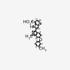 Cc1cccc(Oc2ccc3c(-c4cc5nccc(C(=O)O)c5[nH]4)nn(C)c3c2)c1